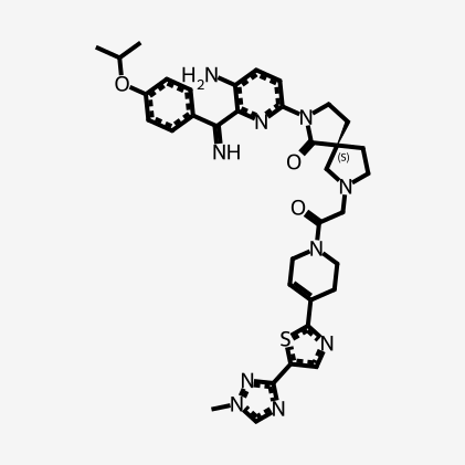 CC(C)Oc1ccc(C(=N)c2nc(N3CC[C@]4(CCN(CC(=O)N5CC=C(c6ncc(-c7ncn(C)n7)s6)CC5)C4)C3=O)ccc2N)cc1